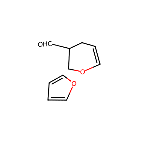 O=CC1CC=COC1.c1ccoc1